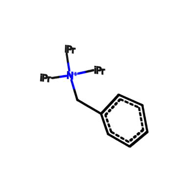 CC(C)[N+](Cc1ccccc1)(C(C)C)C(C)C